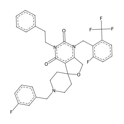 O=c1c2c(n(Cc3c(F)cccc3C(F)(F)F)c(=O)n1CCc1ccccc1)COC21CCN(Cc2cccc(F)c2)CC1